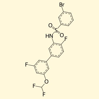 O=S(=O)(Nc1cc(-c2cc(F)cc(OC(F)F)c2)ccc1F)c1cccc(Br)c1